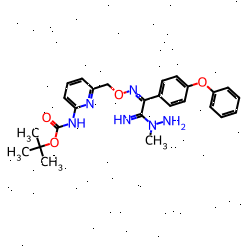 CN(N)C(=N)/C(=N\OCc1cccc(NC(=O)OC(C)(C)C)n1)c1ccc(Oc2ccccc2)cc1